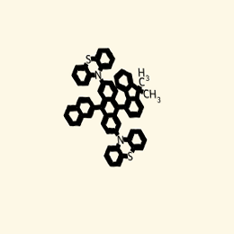 CC1(C)c2ccccc2-c2c(-c3c4ccc(N5c6ccccc6Sc6ccccc65)cc4c(-c4ccc5ccccc5c4)c4ccc(N5c6ccccc6Sc6ccccc65)cc34)cccc21